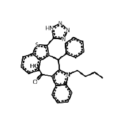 CCCCn1c(C(c2ccccc2)c2c(-c3nnn[nH]3)sc3ccccc23)c(C(=O)O)c2ccccc21